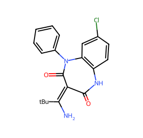 CC(C)(C)/C(N)=C1/C(=O)Nc2ccc(Cl)cc2N(c2ccccc2)C1=O